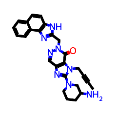 CC#CCn1c(N2CCCC(N)C2)nc2cnn(Cc3nc4c(ccc5ccccc54)[nH]3)c(=O)c21